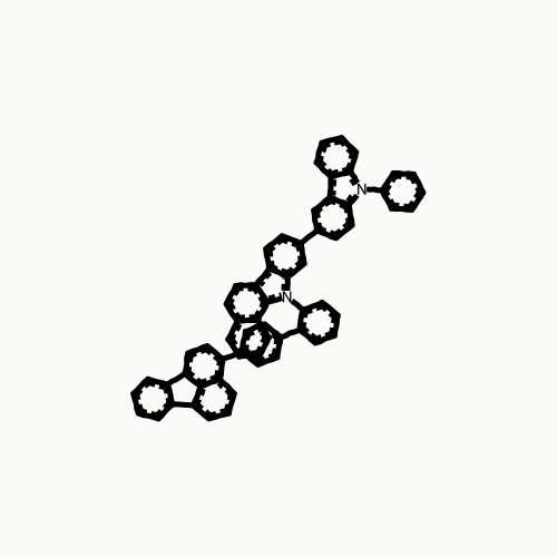 c1ccc(-n2c3ccccc3c3cc(-c4ccc5c6ccc7ccccc7c6n(-c6ccccc6-c6ccc(-c7ccc8c9c(cccc79)-c7ccccc7-8)cc6)c5c4)ccc32)cc1